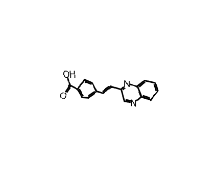 O=C(O)c1ccc(/C=C/c2cnc3ccccc3n2)cc1